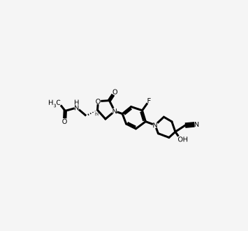 CC(=O)NC[C@H]1CN(c2ccc(N3CCC(O)(C#N)CC3)c(F)c2)C(=O)O1